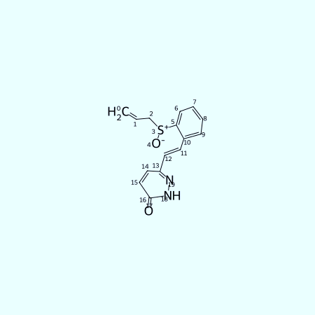 C=CC[S+]([O-])c1ccccc1C=Cc1ccc(=O)[nH]n1